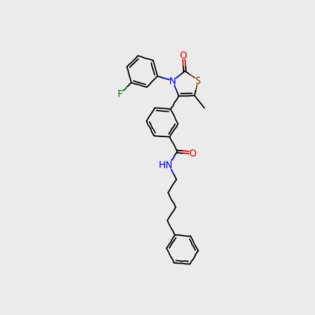 Cc1sc(=O)n(-c2cccc(F)c2)c1-c1cccc(C(=O)NCCCCc2ccccc2)c1